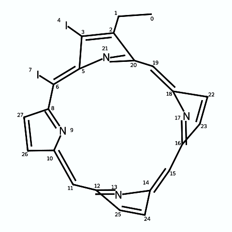 CCC1=C(I)C2=C(I)C3=NC(=CC4=NC(=CC5=NC(=CC1=N2)C=C5)C=C4)C=C3